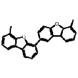 CC1=CC=CC2c3cc(-c4cccc5c4oc4c(C)cccc45)ccc3OC12